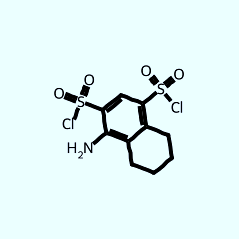 Nc1c(S(=O)(=O)Cl)cc(S(=O)(=O)Cl)c2c1CCCC2